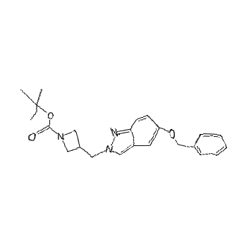 CC(C)(C)OC(=O)N1CC(Cn2cc3cc(OCc4ccccc4)ccc3n2)C1